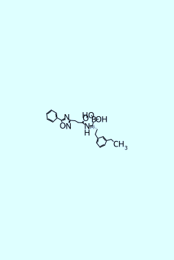 CCc1cccc(CC[C@H](NC(=O)CCc2noc(-c3ccccc3)n2)B(O)O)c1